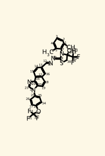 Cc1cccc(C)c1N1C(=NN=Cc2ccc3c(ccc4c3ncn4-c3ccc(OC(F)(F)F)cc3)c2)SCC1(O)C(F)(F)F